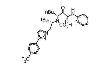 CCCC[C@@H](C(=O)C(=O)Nc1ccccn1)N(C(=O)O)[C@H](Cn1ccc(-c2ccc(C(F)(F)F)cc2)n1)C(C)(C)C